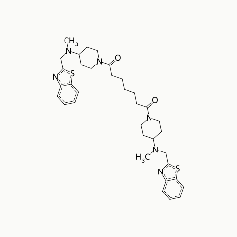 CN(Cc1nc2ccccc2s1)C1CCN(C(=O)CCCCCC(=O)N2CCC(N(C)Cc3nc4ccccc4s3)CC2)CC1